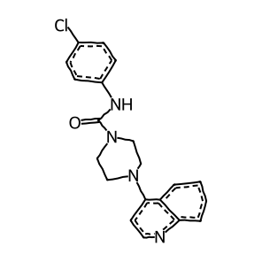 O=C(Nc1ccc(Cl)cc1)N1CCN(c2ccnc3ccccc23)CC1